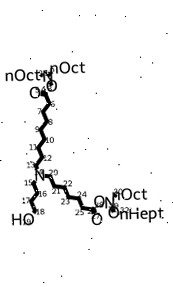 CCCCCCCCN(CCCCCCCC)OC(=O)CCCCCCCCN(CCCCO)CCCCCCC(=O)ON(CCCCCCCC)OCCCCCCC